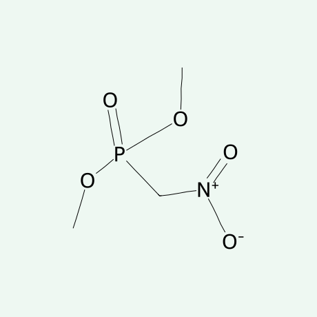 COP(=O)(C[N+](=O)[O-])OC